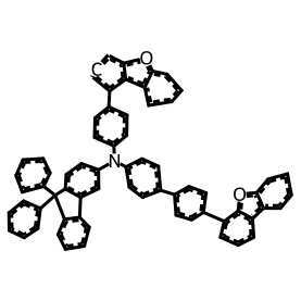 c1ccc(C2(c3ccccc3)c3ccccc3-c3cc(N(c4ccc(-c5ccc(-c6cccc7c6oc6ccccc67)cc5)cc4)c4ccc(-c5cccc6oc7ccccc7c56)cc4)ccc32)cc1